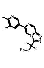 CCOC(F)(F)c1nnc2cnc(-c3cnc(C)c(F)c3)cn12